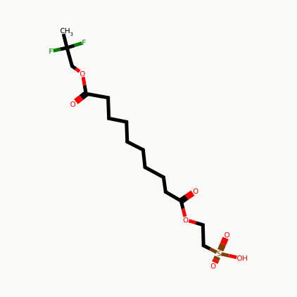 CC(F)(F)COC(=O)CCCCCCCCC(=O)OCCS(=O)(=O)O